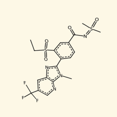 CCS(=O)(=O)c1cc(C(=O)N=S(C)(C)=O)ccc1-c1nc2cc(C(F)(F)F)cnc2n1C